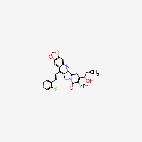 C=CC(O)c1cc2n(c(=O)c1CCC)Cc1c-2nc2cc3c(cc2c1/C=C/c1ccccc1F)OCO3